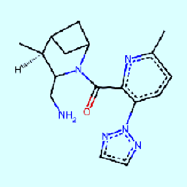 Cc1ccc(-n2nccn2)c(C(=O)N2C3CC(C3)[C@H](C)C2CN)n1